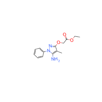 CCOC(=O)COc1nn(-c2ccccc2)c(N)c1C